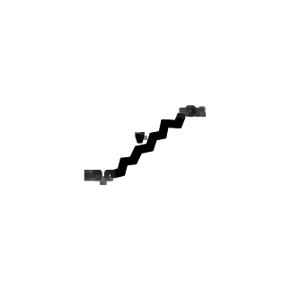 CCCCCCCCCCCCCCCCCC(=O)O.[V]